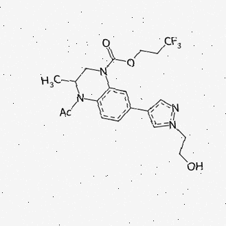 CC(=O)N1c2ccc(-c3cnn(CCO)c3)cc2N(C(=O)OCCC(F)(F)F)CC1C